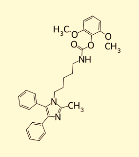 COc1cccc(OC)c1OC(=O)NCCCCCn1c(C)nc(-c2ccccc2)c1-c1ccccc1